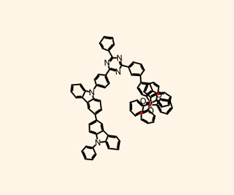 O=P(c1ccccc1)(c1ccccc1)c1ccccc1Oc1cc(-c2cccc(-c3nc(-c4ccccc4)nc(-c4ccc(-n5c6ccccc6c6cc(-c7ccc8c(c7)c7ccccc7n8-c7ccccc7)ccc65)cc4)n3)c2)ccc1P(=O)(c1ccccc1)c1ccccc1